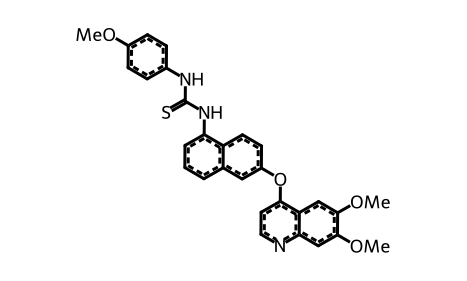 COc1ccc(NC(=S)Nc2cccc3cc(Oc4ccnc5cc(OC)c(OC)cc45)ccc23)cc1